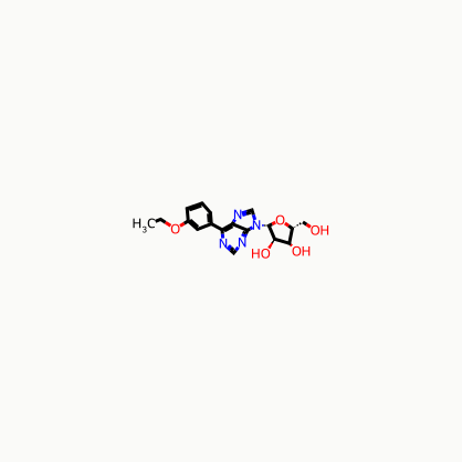 CCOc1cccc(-c2ncnc3c2ncn3[C@@H]2O[C@H](CO)[C@@H](O)[C@H]2O)c1